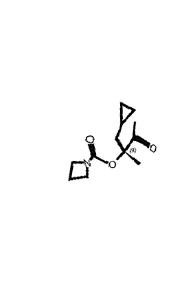 CC(=O)[C@@](C)(CC1CC1)OC(=O)N1CCC1